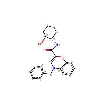 O=C(N[C@H]1CCCC[C@@H]1O)C1=CN(Cc2ccccc2)c2ccccc2O1